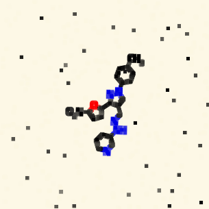 Cc1ccc(-n2cc(C=NNc3cccnc3)c(-c3ccc([N+](=O)[O-])o3)n2)cc1